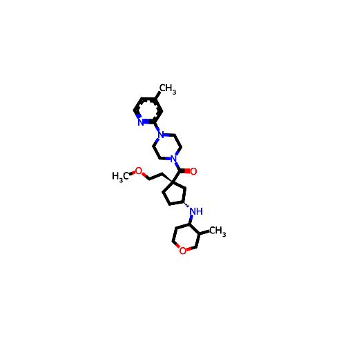 COCC[C@]1(C(=O)N2CCN(c3cc(C)ccn3)CC2)CC[C@@H](NC2CCOCC2C)C1